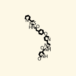 O=C(Cc1ccc(Oc2ccc(-c3csc(NC(=O)c4ccc(=O)[nH]c4)n3)nc2)cc1)Nc1nc(-c2ccccn2)cs1